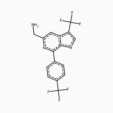 NCc1cn2c(C(F)(F)F)cnc2c(-c2ccc(C(F)(F)F)cc2)n1